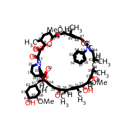 CO[C@H]1C[C@@H]2CCC(C)C(O)(O2)C(=O)C(=O)N2CCCC3C2C(=O)O[C@@H](CC(=O)[C@H](C)/C=C(\C)C(O)[C@@H](OC)C(=O)C(C)C[C@H](C)C2CCC(/C=C/1C)ON2c1ccccc1)[C@H]3C[C@@H]1CCC(O)[C@H](OC)C1